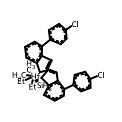 C[CH2][Hf]([CH3])([CH3])(=[SiH2])([CH2]C)([CH]1C=Cc2c(-c3ccc(Cl)cc3)cccc21)[CH]1C=Cc2c(-c3ccc(Cl)cc3)cccc21